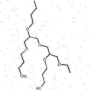 CCCCOC(COCCCO)COCC(COCC)OCCCO